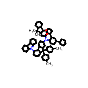 Cc1ccc(C2(c3ccc(C)cc3)c3cc(N(c4ccc5c(c4)C(C)(C)c4ccccc4-5)c4ccc(-c5ccccc5)cc4-c4ccccc4)ccc3-c3c(-n4c5ccccc5c5ccccc54)cccc32)cc1